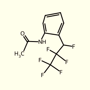 CC(=O)Nc1ccccc1C(F)C(F)(F)C(F)(F)F